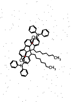 CCCCCCCC(c1ccc(N(c2ccccc2)c2ccccc2)cc1)C1(C(CCCCCCC)c2ccc(N(c3ccccc3)c3ccccc3)cc2)c2cc(C)ccc2-c2ccc(C)cc21